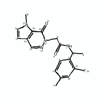 Cc1ccc(C(C)NC(=O)Cn2ncc3ccn(C)c3c2=O)c(F)c1